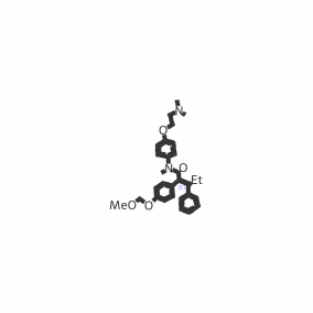 CC/C(=C(\C(=O)N(C)c1ccc(OCCN(C)C)cc1)c1ccc(OCOC)cc1)c1ccccc1